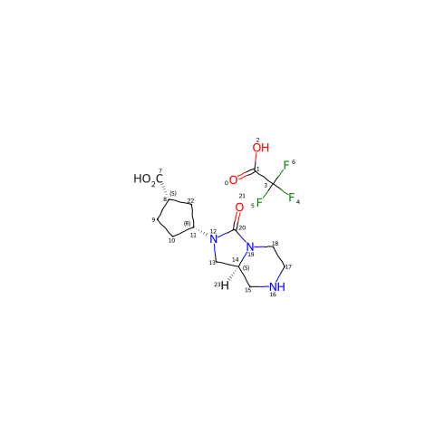 O=C(O)C(F)(F)F.O=C(O)[C@H]1CC[C@@H](N2C[C@@H]3CNCCN3C2=O)C1